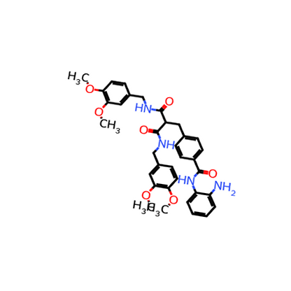 COc1ccc(CNC(=O)C(Cc2ccc(C(=O)Nc3ccccc3N)cc2)C(=O)NCc2ccc(OC)c(OC)c2)cc1OC